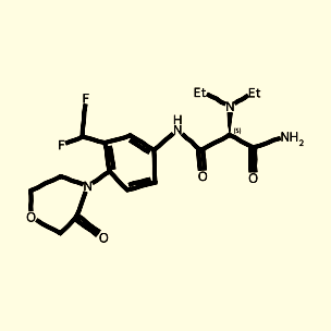 CCN(CC)[C@@H](C(N)=O)C(=O)Nc1ccc(N2CCOCC2=O)c(C(F)F)c1